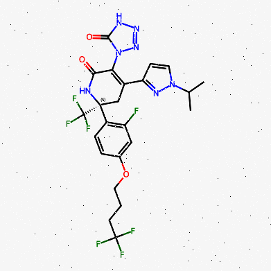 CC(C)n1ccc(C2=C(n3nn[nH]c3=O)C(=O)N[C@@](c3ccc(OCCCC(F)(F)F)cc3F)(C(F)(F)F)C2)n1